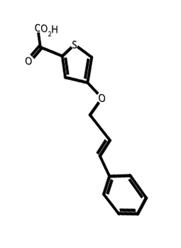 O=C(O)C(=O)c1cc(OCC=Cc2ccccc2)cs1